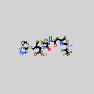 Cn1nnnc1SCC1=C(C(=O)O)N2C(=O)C(NC(=O)Cc3csc(NC(=O)C(F)(F)F)n3)[C@@H]2SC1